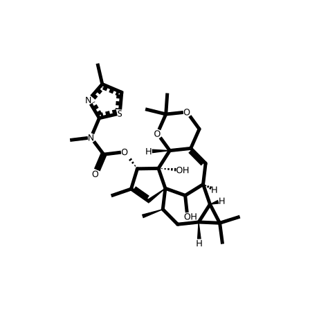 CC1=C[C@]23C(O)[C@@H](C=C4COC(C)(C)O[C@H]4[C@]2(O)[C@H]1OC(=O)N(C)c1nc(C)cs1)[C@H]1[C@@H](C[C@H]3C)C1(C)C